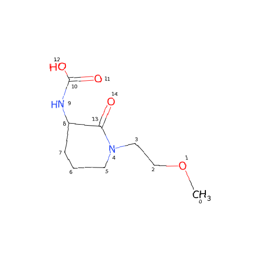 COCCN1CCCC(NC(=O)O)C1=O